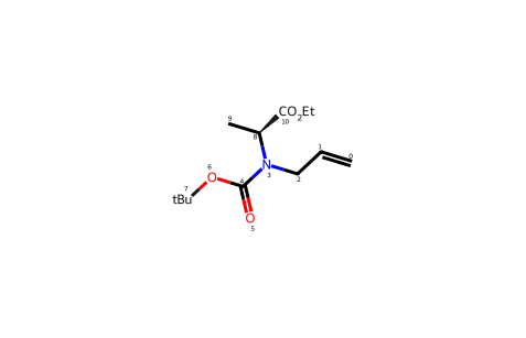 C=CCN(C(=O)OC(C)(C)C)[C@@H](C)C(=O)OCC